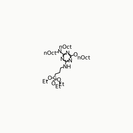 CCCCCCCCOc1nc(NCCC[Si](OCC)(OCC)OCC)nc(N(CCCCCCCC)CCCCCCCC)n1